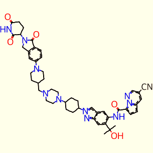 CC(C)(O)c1cc2nn(C3CCC(N4CCN(CC5CCN(c6ccc7c(c6)CN(C6CCC(=O)NC6=O)C7=O)CC5)CC4)CC3)cc2cc1NC(=O)c1ccc2cc(C#N)cnn12